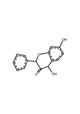 O=C1C(O)c2ccc(O)cc2OC1c1ccccc1